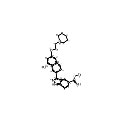 CCOC(=N)c1ccc2[nH]nc(-c3ccc4cc(OCCN5CCCCC5)ccc4c3)c2c1.Cl